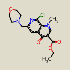 CCOC(=O)c1cn(C)c2c(Cl)nc(CN3CCOCC3)cc2c1=O